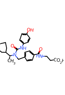 C[C@@H](C1CCCCC1)N(Cc1ccc(C(=O)NCCC(=O)O)cc1)C(=O)Nc1ccc(O)cc1